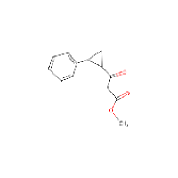 COC(=O)CC(=O)C1CC1c1ccccc1